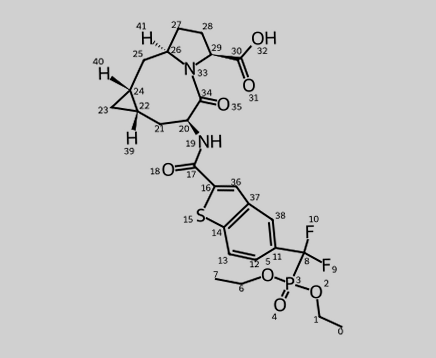 CCOP(=O)(OCC)C(F)(F)c1ccc2sc(C(=O)N[C@H]3C[C@@H]4C[C@@H]4C[C@H]4CC[C@@H](C(=O)O)N4C3=O)cc2c1